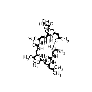 CNC(=O)NC[C@H](CC(C)C)NC(=O)NC[C@H](C)NC(=O)NC[C@@H](NC(=O)NC[C@H](CC(C)C)NC(=O)NC[C@H](C)N)C(C)C